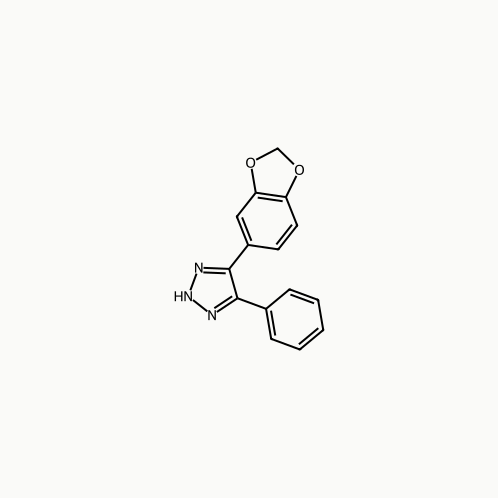 c1ccc(-c2n[nH]nc2-c2ccc3c(c2)OCO3)cc1